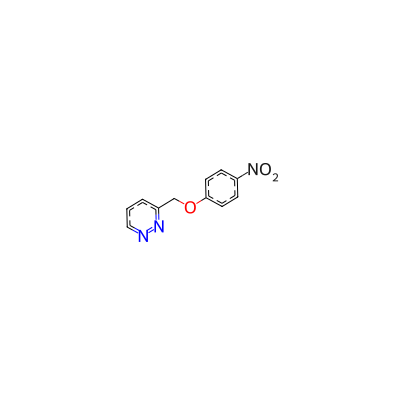 O=[N+]([O-])c1ccc(OCc2cccnn2)cc1